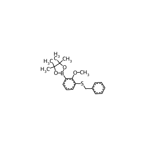 COc1c(SCc2ccccc2)cccc1B1OC(C)(C)C(C)(C)O1